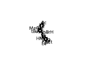 Br.CCOc1cc2c(c(F)c1OCC)C(=N)N(CC(=O)c1cc(N3CCN(C(C)=O)CC3)c(OC)c(C(C)(C)C)c1)C2